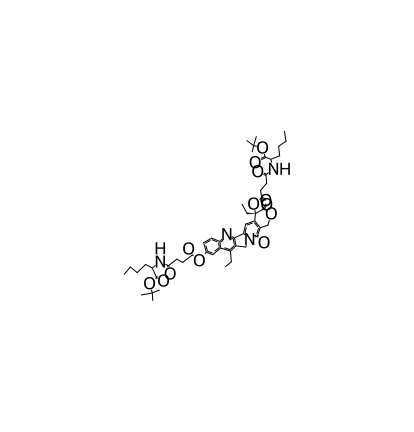 CCCCC(NC(=O)CCC(=O)Oc1ccc2nc3c(c(CC)c2c1)Cn1c-3cc2c(c1=O)COC(=O)[C@@]2(CC)OC(=O)CCC(=O)NC(CCCC)C(=O)OC(C)(C)C)C(=O)OC(C)(C)C